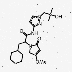 COC1=CC(=O)N(C(CC2CCCCC2)C(=O)Nc2ccn(CC(C)(C)O)n2)C1